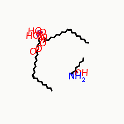 CCCCCC(O)CN.CCCCCCCC/C=C\CCCCCCCC(=O)OCC(COP(=O)(O)O)OC(=O)CCCCCCC/C=C\CCCCCCCC